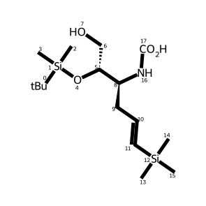 CC(C)(C)[Si](C)(C)O[C@H](CO)[C@H](C/C=C/[Si](C)(C)C)NC(=O)O